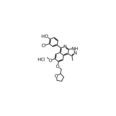 COc1cc2c(-c3ccc(O)c(Cl)c3)nc3[nH]nc(C)c3c2cc1OCC1CCCO1.Cl